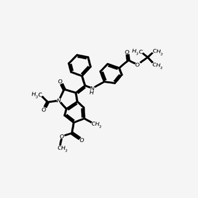 COC(=O)c1cc2c(cc1C)C(=C(Nc1ccc(C(=O)OC(C)(C)C)cc1)c1ccccc1)C(=O)N2C(C)=O